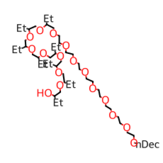 CCCCCCCCCCOCCOCCOCCOCCOCCOCCOCCOCCOCC(CC)OCC(CC)OCC(CC)OCC(CC)OCC(CC)OCC(CC)OCC(CC)OCC(O)CC